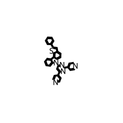 c1ccc(-c2cc3ccc4c(c5ccccc5n4-c4cc(-c5ccncc5)nc(-c5ccncc5)n4)c3s2)cc1